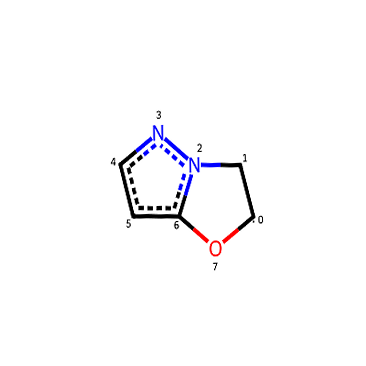 [CH]1Cn2nccc2O1